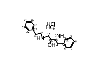 Cl.Cl.N[C@H](Cc1ccccc1)[C@@H](O)CNCCc1ccccc1